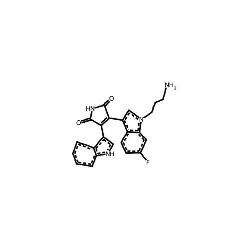 NCCCn1cc(C2=C(c3c[nH]c4ccccc34)C(=O)NC2=O)c2ccc(F)cc21